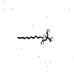 CCCCCCCCCCCCOC(CC=O)(CC=O)C1CO1